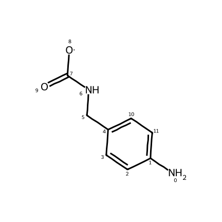 Nc1ccc(CNC([O])=O)cc1